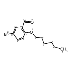 CCCCCCOc1ccc(Br)cc1C=O